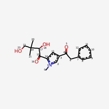 Cn1cc(C(=O)Cc2ccccc2)cc1C(=O)[C@H](O)C(C)(C)CO